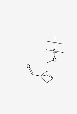 CC(C)(C)[Si](C)(C)OCC1C2CC1(C=O)C2